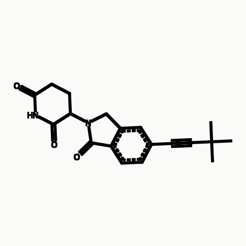 CC(C)(C)C#Cc1ccc2c(c1)CN(C1CCC(=O)NC1=O)C2=O